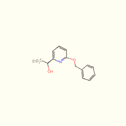 CCOC(=O)C(O)c1cccc(OCc2ccccc2)n1